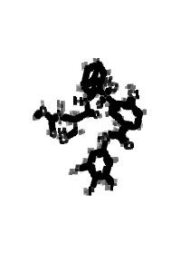 COC(=O)N[C@@H](CO)C(=O)NCC1(O)C2CC1CC(S(=O)(=O)c1cc(C(=O)Nc3cc(F)c(F)c(F)c3)ccc1Cl)C2